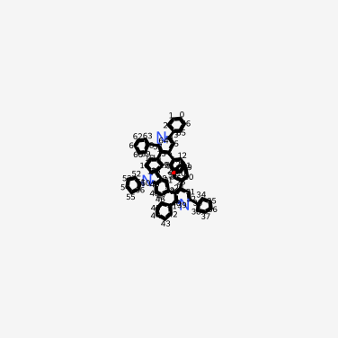 c1ccc(-c2cc(-c3ccccc3)c(-c3ccc4c(c3)c3cc(-c5c(-c6ccccc6)cc(-c6ccccc6)nc5-c5ccccc5)ccc3n4-c3ccccc3)c(-c3ccccc3)n2)cc1